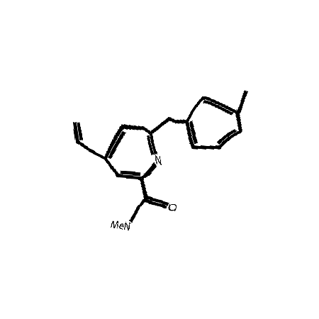 C=Cc1cc(Cc2cccc(C)c2)nc(C(=O)NC)c1